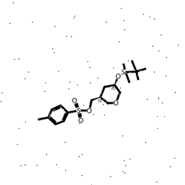 Cc1ccc(S(=O)(=O)OC[C@@H]2COC[C@H](O[Si](C)(C)C(C)(C)C)C2)cc1